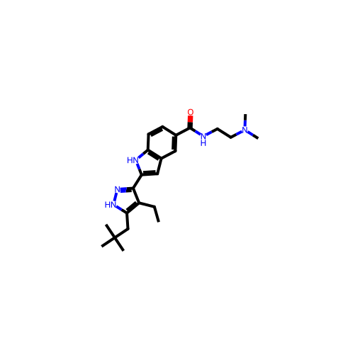 CCc1c(-c2cc3cc(C(=O)NCCN(C)C)ccc3[nH]2)n[nH]c1CC(C)(C)C